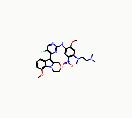 COc1cc(N(C)CCN(C)C)c([N+](=O)[O-])cc1Nc1ncc(F)c(-c2c3n(c4c(OC)cccc24)CCOC3)n1